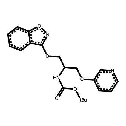 CC(C)(C)OC(=O)NC(COc1cccnc1)COc1noc2ccccc12